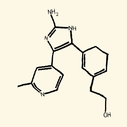 Cc1cc(-c2nc(N)[nH]c2C2=CC(CCO)=CCC2)ccn1